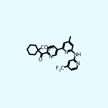 Cc1cc(Nc2cc(C(F)(F)F)ccn2)nc(-c2ccc(C(=O)C3(C(=O)O)CCCCC3)nc2)c1